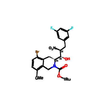 COc1ccc(Br)c2c1CN(C(=O)OC(C)(C)C)[C@@H]([C@@H](O)[C@H](Cc1cc(F)cc(F)c1)[N+](=O)[O-])C2